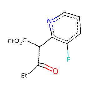 CCOC(=O)C(C(=O)CC)c1ncccc1F